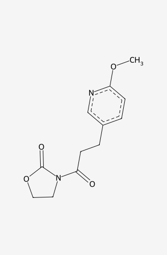 COc1ccc(CCC(=O)N2CCOC2=O)cn1